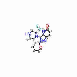 C[C@@H]1CN(c2c3c(ccc(=O)n3C)nn2C2CCCCO2)[C@@H](C(F)F)CN1